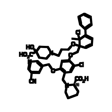 CC1(Cl)C(c2ccccc2)=CC=CC1(COc1cc(OCc2cncc(C#N)c2)c(CN2CCCC[C@H]2C(=O)O)cc1Cl)OCCCN1CCC(O)(C(=O)O)CC1